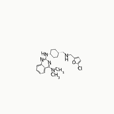 CN(C)c1nc(N[C@H]2CC[C@@H](CNCc3ccc(Cl)o3)CC2)nc2ccccc12